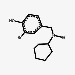 CCN(Cc1ccc(O)c(Br)c1)C1CCCCC1